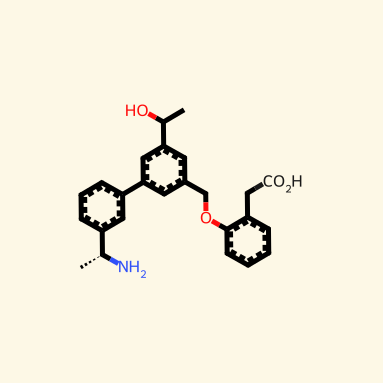 CC(O)c1cc(COc2ccccc2CC(=O)O)cc(-c2cccc([C@@H](C)N)c2)c1